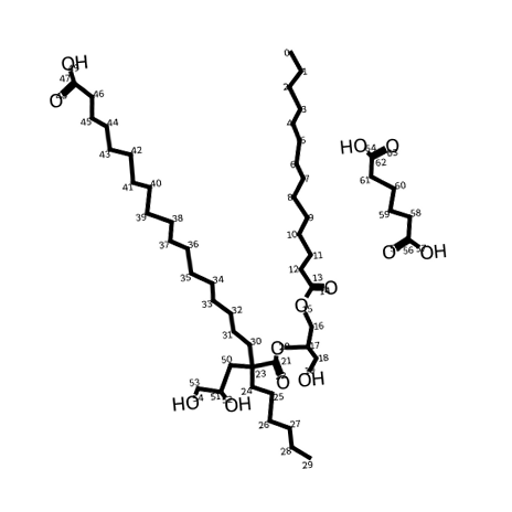 CCCCCCCCCCCCCC(=O)OCC(CO)OC(=O)C(CCCCCC)(CCCCCCCCCCCCCCCCCC(=O)O)CC(O)CO.O=C(O)CCCCC(=O)O